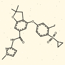 Cn1ccc(NC(=O)c2cc(Oc3ccc(S(=O)(=O)C4CC4)c(F)c3)c3c(c2)OC(C)(C)C3)n1